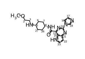 COCCN[C@H]1CC[C@H](NC(=O)c2nc(-n3ccnc3)nc3cc[nH]c23)CC1